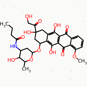 CCCC(=O)NC1CC(OC2CC(O)(C(=O)CO)Cc3c(O)c4c(c(O)c32)C(=O)c2c(OC)cccc2C4=O)OC(C)C1O